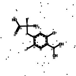 C[C@@](N)(Cc1cc(Cl)c(B(O)O)cc1F)C(=O)O